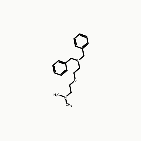 CN(C)CCOCCN(Cc1ccccc1)Cc1ccccc1